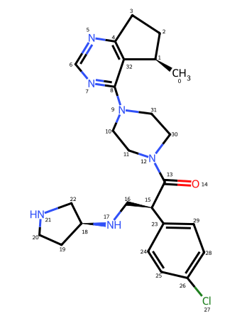 C[C@@H]1CCc2ncnc(N3CCN(C(=O)[C@H](CN[C@H]4CCNC4)c4ccc(Cl)cc4)CC3)c21